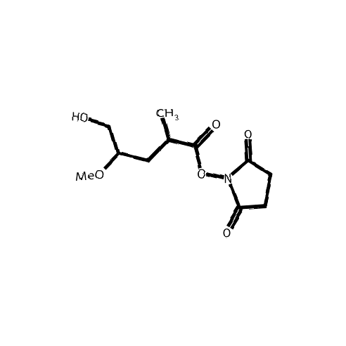 COC(CO)CC(C)C(=O)ON1C(=O)CCC1=O